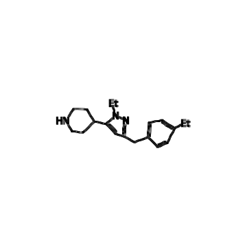 CCc1ccc(Cc2cc(C3CCNCC3)n(CC)n2)cc1